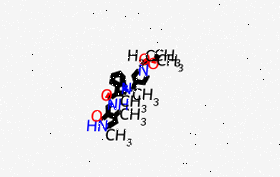 CCc1cc(C)[nH]c(=O)c1CNC(=O)c1c(C)n(C(C)C2CCN(C(=O)OC(C)(C)C)CC2)c2ccccc12